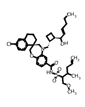 C=CCC(C)C(COC)S(=O)(=O)NC(=O)c1ccc2c(c1)N(C[C@@H]1CC[C@H]1C(O)/C=C/CCC)C[C@@]1(CCCc3cc(Cl)ccc31)CO2